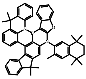 Cc1cc2c(cc1N1c3cc4c(c5c3B(c3c1oc1ccccc31)N1c3ccccc3C(C)(C)c3cccc-5c31)-c1ccccc1C4(C)C)C(C)(C)CCC2(C)C